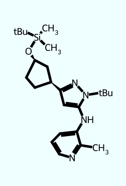 Cc1ncccc1Nc1cc([C@H]2CC[C@@H](O[Si](C)(C)C(C)(C)C)C2)nn1C(C)(C)C